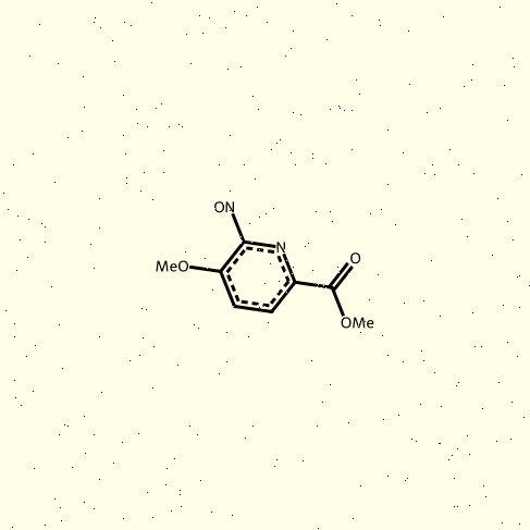 COC(=O)c1ccc(OC)c(N=O)n1